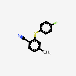 Cc1ccc(C#N)c(Sc2ccc(F)cc2)c1